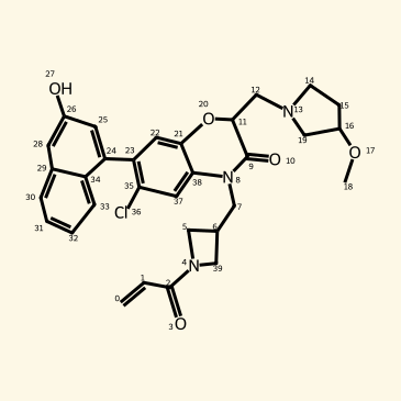 C=CC(=O)N1CC(CN2C(=O)C(CN3CCC(OC)C3)Oc3cc(-c4cc(O)cc5ccccc45)c(Cl)cc32)C1